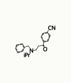 CC(C)N(CCC(=O)c1ccc(C#N)cc1)Cc1ccccc1